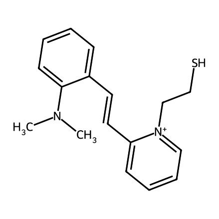 CN(C)c1ccccc1/C=C/c1cccc[n+]1CCS